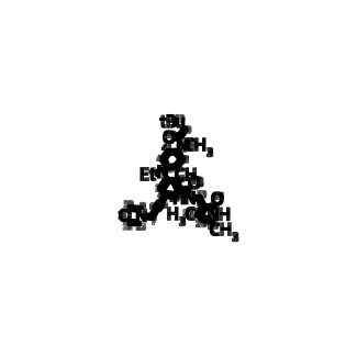 CCN(c1cc(C#CCN2CCOCC2)cc(C(=O)NCc2c(C)cc(C)[nH]c2=O)c1C)[C@H]1CC[C@H](N(C)C(=O)CC(C)(C)C)CC1